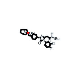 CC(C)(C)NC(=O)Cc1nn(-c2ccc(CCN3C4CCC3CC(O)C4)cc2)c(=O)n1-c1ccc(F)c(Cl)c1